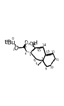 CC(C)(C)OC(=O)C[C@H]1C[C@@]2(C)CCCC=C2C[C@@H]1O